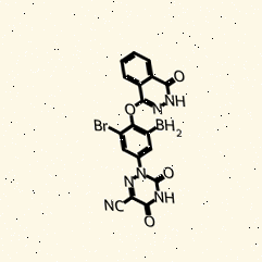 Bc1cc(-n2nc(C#N)c(=O)[nH]c2=O)cc(Br)c1Oc1n[nH]c(=O)c2ccccc12